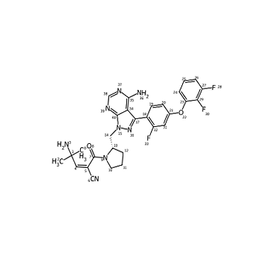 CC(C)(N)/C=C(/C#N)C(=O)N1CCC[C@H]1Cn1nc(-c2ccc(Oc3cccc(F)c3F)cc2F)c2c(N)ncnc21